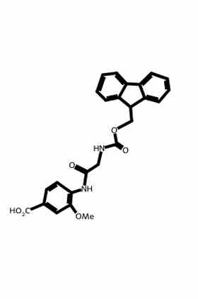 COc1cc(C(=O)O)ccc1NC(=O)CNC(=O)OCC1c2ccccc2-c2ccccc21